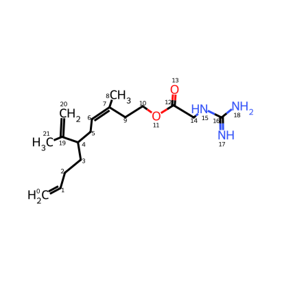 C=CCCC(C/C=C(/C)CCOC(=O)CNC(=N)N)C(=C)C